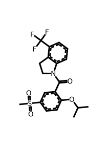 CC(C)Oc1ccc(S(C)(=O)=O)cc1C(=O)N1CCc2c1cccc2C(F)(F)F